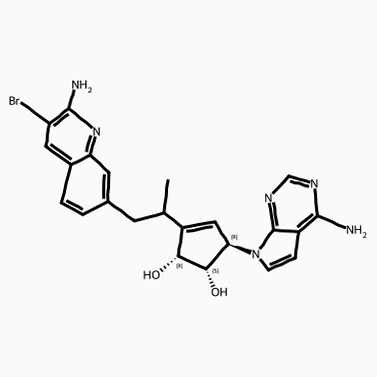 CC(Cc1ccc2cc(Br)c(N)nc2c1)C1=C[C@@H](n2ccc3c(N)ncnc32)[C@H](O)[C@@H]1O